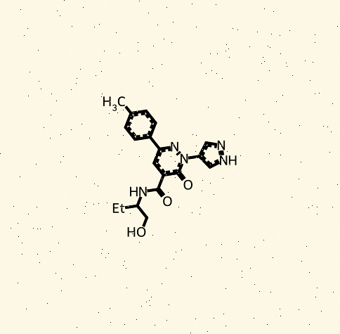 CCC(CO)NC(=O)c1cc(-c2ccc(C)cc2)nn(-c2cn[nH]c2)c1=O